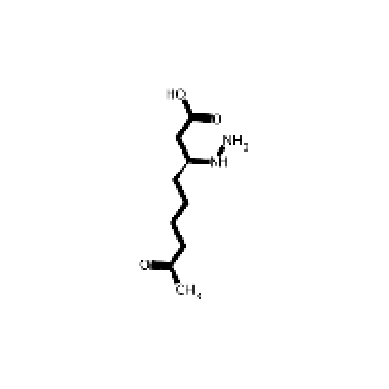 CC(=O)CCCC[C@@H](CC(=O)O)NN